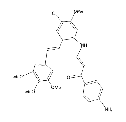 COc1cc(NC=CC(=O)c2ccc(N)cc2)c(C=Cc2cc(OC)c(OC)c(OC)c2)cc1Cl